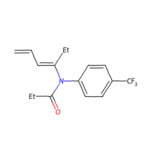 C=C/C=C(\CC)N(C(=O)CC)c1ccc(C(F)(F)F)cc1